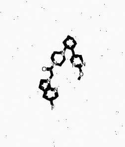 COc1ncc(-c2ccccc2N2CCN(C(=O)Cn3ccc4cc(F)cnc43)CC2)cn1